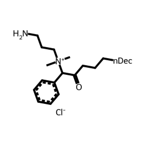 CCCCCCCCCCCCCC(=O)C(c1ccccc1)[N+](C)(C)CCCN.[Cl-]